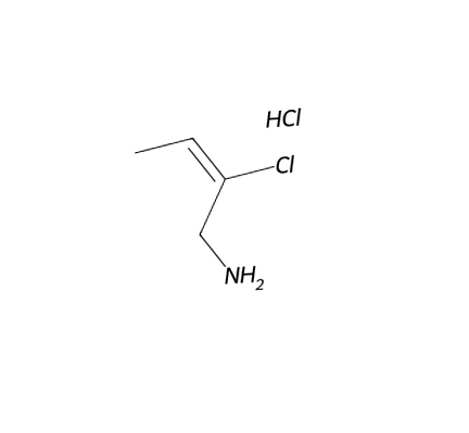 C/C=C(/Cl)CN.Cl